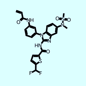 C=CC(=O)Nc1cccc(-n2c(NC(=O)c3ccc(C(F)F)s3)nc3cc(N(C)S(C)(=O)=O)ccc32)c1